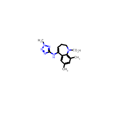 Cc1cc(C)c2c(c1)C(Nc1nnn(C)n1)=CCCN2C(=O)O